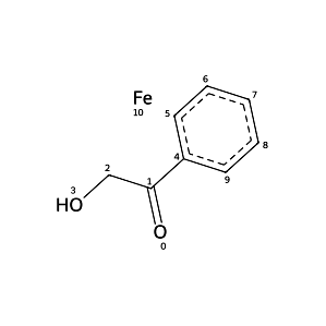 O=C(CO)c1ccccc1.[Fe]